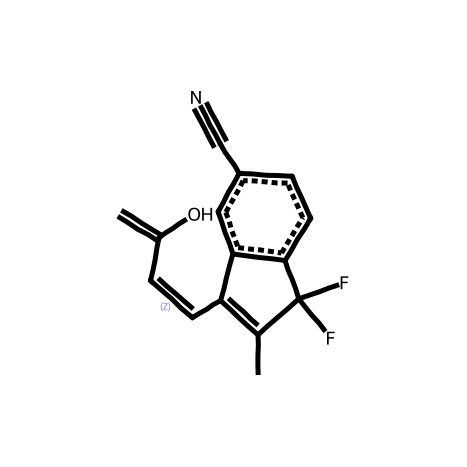 C=C(O)/C=C\C1=C(C)C(F)(F)c2ccc(C#N)cc21